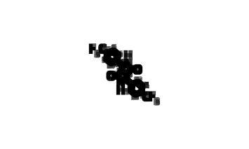 O=C1NC(c2ccc(C(F)(F)F)cc2)=C2C(=O)NC(C3=CCC(C(F)(F)F)C=C3)=C12